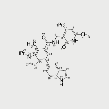 CCCc1cc(C)[nH]c(=O)c1CNC(=O)c1cc(-c2ccc3[nH]ccc3c2)c2ccn(C(C)C)c2c1C